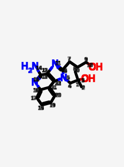 CC(C)(O)Cn1c(CCCO)nc2c(N)nc3ccccc3c21